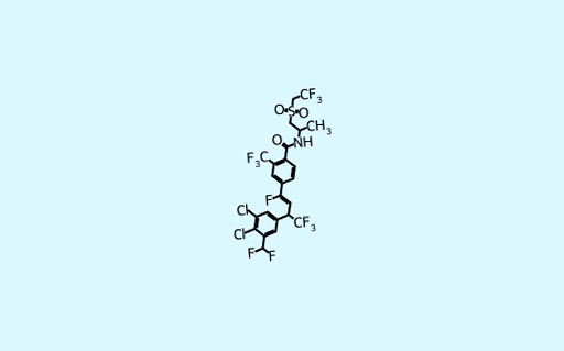 CC(CS(=O)(=O)CC(F)(F)F)NC(=O)c1ccc(/C(F)=C/C(c2cc(Cl)c(Cl)c(C(F)F)c2)C(F)(F)F)cc1C(F)(F)F